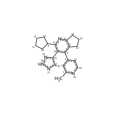 Cc1cc(-c2c3c(nc(C4CCCC4)c2-c2nn[nH]n2)CCC3)ccn1